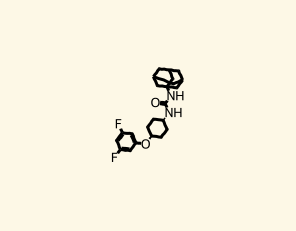 O=C(NC12CC3CC(CC(C3)C1)C2)N[C@H]1CC[C@H](Oc2cc(F)cc(F)c2)CC1